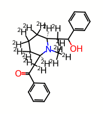 [2H]C([2H])([2H])N1[C@@]([2H])(C([2H])([2H])C(=O)c2ccccc2)C([2H])([2H])C([2H])([2H])C([2H])([2H])[C@@]1([2H])C([2H])([2H])C(O)c1ccccc1